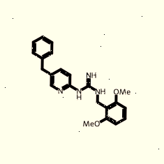 COc1cccc(OC)c1CNC(=N)Nc1ccc(Cc2ccccc2)cn1